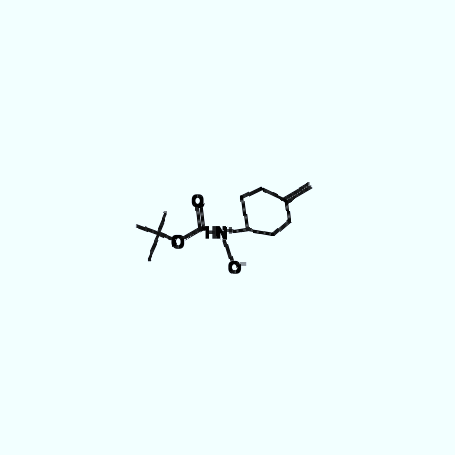 C=C1CCC([NH+]([O-])C(=O)OC(C)(C)C)CC1